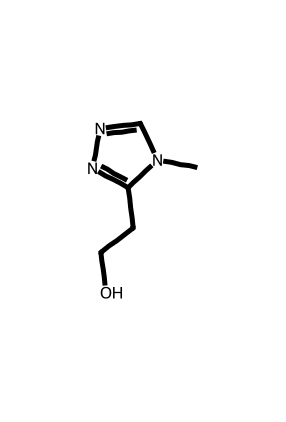 Cn1cnnc1CCO